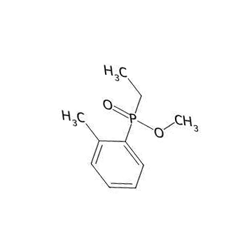 CCP(=O)(OC)c1ccccc1C